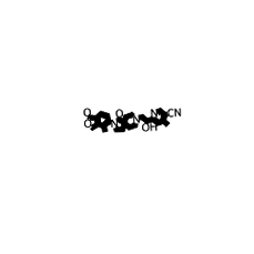 Cc1cc([C@H](O)CN2CCC3(CC2)CCN(c2ccc4c(c2C)COC4=O)C3=O)ncc1C#N